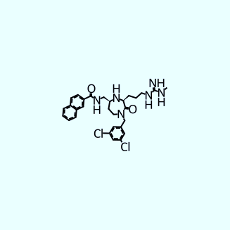 CNC(=N)NCCC[C@@H]1N[C@H](CNC(=O)c2ccc3ccccc3c2)CCN(Cc2cc(Cl)cc(Cl)c2)C1=O